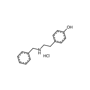 Cl.Oc1ccc(CCNCc2ccccc2)cc1